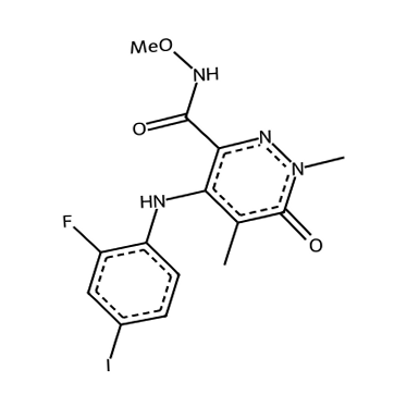 CONC(=O)c1nn(C)c(=O)c(C)c1Nc1ccc(I)cc1F